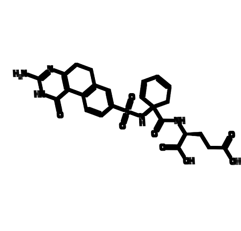 Nc1nc2c(c(=O)[nH]1)-c1ccc(S(=O)(=O)NC3(C(=O)N[C@@H](CCC(=O)O)C(=O)O)C=CC=CC3)cc1CC2